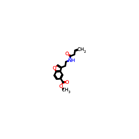 C=CCC(=O)NCCc1coc2ccc(C(=O)OC)cc12